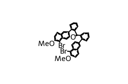 COc1ccc2cc(-c3ccccc3C(=O)c3ccccc3-c3ccc4c(Br)c(OC)ccc4c3)ccc2c1Br